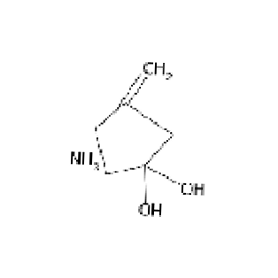 C=C1CCC(O)(O)C1.N